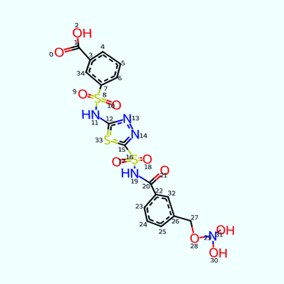 O=C(O)c1cccc(S(=O)(=O)Nc2nnc(S(=O)(=O)NC(=O)c3cccc(CON(O)O)c3)s2)c1